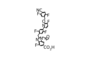 N#Cc1cc(F)c(COc2nc(-c3cc(F)c(Cc4nc5c(F)cc(C(=O)O)cc5n4C[C@@H]4CCO4)cc3F)ccc2F)cc1F